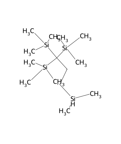 C[SiH](C)[CH]CC([Si](C)(C)C)([Si](C)(C)C)[Si](C)(C)C